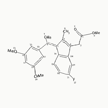 COC(=O)CC1=C(C)C(=C(OC)c2cc(OC)cc(OC)c2)c2ccc(F)cc21